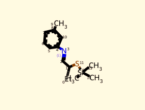 CCC(/C=N/c1cccc(C)c1)S[Si](C)(C)C